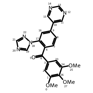 COc1cc(C(=O)c2ccc(-c3cncnc3)cc2-n2cncn2)cc(OC)c1OC